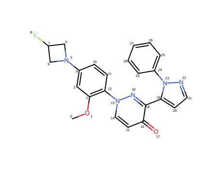 COc1cc(N2CC(F)C2)ccc1-n1ccc(=O)c(-c2ccnn2-c2ccccc2)n1